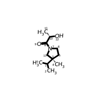 CC(C)[C@]1(C)CCN(C(=O)[C@H](C)O)C1